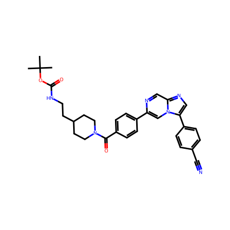 CC(C)(C)OC(=O)NCCC1CCN(C(=O)c2ccc(-c3cn4c(-c5ccc(C#N)cc5)cnc4cn3)cc2)CC1